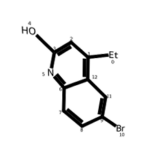 CCc1cc(O)nc2ccc(Br)cc12